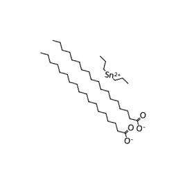 CCCCCCCCCCCCCCCCCC(=O)[O-].CCCCCCCCCCCCCCCCCC(=O)[O-].CC[CH2][Sn+2][CH2]CC